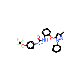 Cc1cc(Oc2ccccc2NC(=O)Nc2ccc(OC(F)(F)F)cc2)n(-c2ccccc2)n1